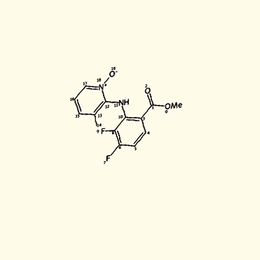 COC(=O)c1ccc(F)c(F)c1Nc1c(C)ccc[n+]1[O-]